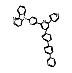 c1ccc(-c2ccc(-c3ccc(-c4cc(-c5ccncc5)nc(-c5ccc(-n6c7ccccc7c7ncccc76)nc5)c4)cc3)cc2)cc1